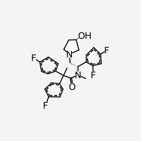 CN(C(=O)C(C)(c1ccc(F)cc1)c1ccc(F)cc1)[C@H](CN1CC[C@H](O)C1)c1ccc(F)cc1F